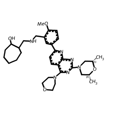 COc1ccc(-c2ccc3c(N4CCOCC4)nc(N4C[C@@H](C)O[C@@H](C)C4)nc3n2)cc1CNCC1CCCCCC1O